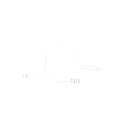 O=C1CCCC(S)CN1